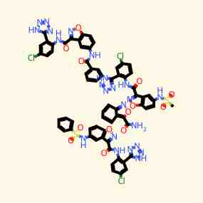 CS(=O)(=O)Nc1ccc2onc(C(=O)Nc3ccc(Cl)cc3-c3nnn[nH]3)c2c1.NC(=O)c1onc2ccccc12.O=C(Nc1ccc(Cl)cc1-c1nnn[nH]1)c1noc2ccc(NS(=O)(=O)c3ccccc3)cc12.O=C(Nc1ccc2onc(C(=O)Nc3ccc(Cl)cc3-c3nnn[nH]3)c2c1)c1ccccc1